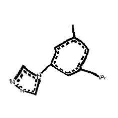 Cc1cc(C(C)C)cc(-n2cnnc2)c1